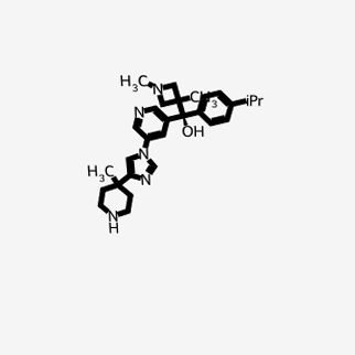 CC(C)c1ccc([C@](O)(c2cncc(-n3cnc(C4(C)CCNCC4)c3)c2)C2(C)CN(C)C2)cc1